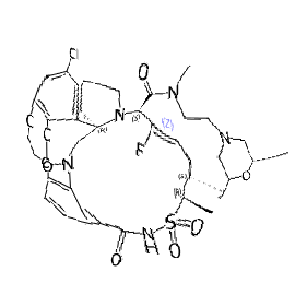 CC1CN(CCN(C)C(=O)[C@H]2/C(F)=C/C[C@H](C)[C@@H](C)S(=O)(=O)NC(=O)c3ccc4c(c3)N3CCCCc5cc(Cl)cc(c5CO4)[C@]4(CCCN24)C3)CC(C)O1